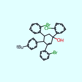 CC(C)(C)c1ccc(C2C(c3ccccc3Br)=CC(O)(c3ccccc3Cl)CC2c2ccccc2Br)cc1